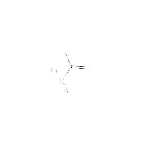 COC(C)=O.[Rh]